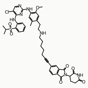 COc1cc(CCNCCCCCC#Cc2ccc3c(c2)C(=O)N(C2CCC(=O)NC2=O)C3=O)c(C)cc1Nc1ncc(Cl)c(Nc2ccccc2S(=O)(=O)C(C)C)n1